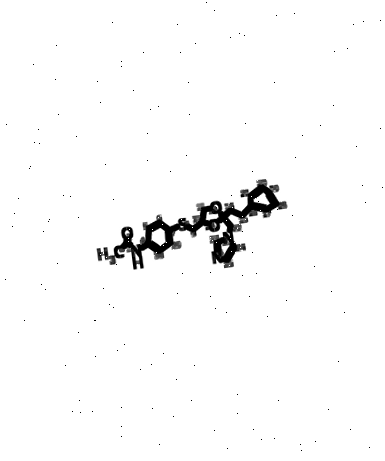 CC(=O)Nc1ccc(SCC2COC(CCc3ccccc3)(Cn3ccnc3)O2)cc1